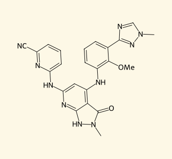 COc1c(Nc2cc(Nc3cccc(C#N)n3)nc3[nH]n(C)c(=O)c23)cccc1-c1ncn(C)n1